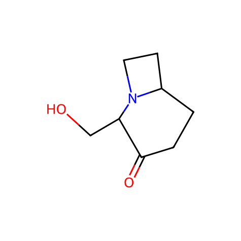 O=C1CCC2CCN2C1CO